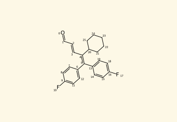 O=C/C=C/C(=C(c1ccc(F)cc1)c1ccc(F)cc1)C1CCCCC1